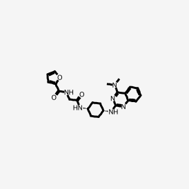 CN(C)c1nc(N[C@H]2CC[C@@H](NC(=O)CNC(=O)c3ccco3)CC2)nc2ccccc12